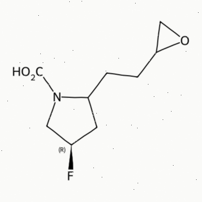 O=C(O)N1C[C@H](F)CC1CCC1CO1